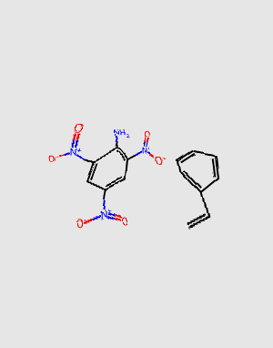 C=Cc1ccccc1.Nc1c([N+](=O)[O-])cc([N+](=O)[O-])cc1[N+](=O)[O-]